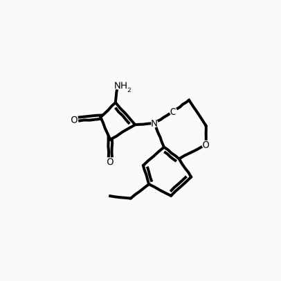 CCc1ccc2c(c1)N(c1c(N)c(=O)c1=O)CCCO2